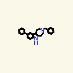 c1ccc(CN2CCc3[nH]c4ccc(-c5ccccc5)cc4c3CC2)cc1